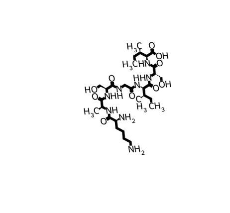 CC[C@H](C)[C@H](NC(=O)[C@H](CO)NC(=O)[C@@H](NC(=O)CNC(=O)[C@H](CO)NC(=O)[C@H](C)NC(=O)[C@@H](N)CCCCN)[C@@H](C)CC)C(=O)O